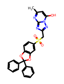 Cc1cc(O)n2nc(CS(=O)(=O)c3ccc4c(c3)OC(c3ccccc3)(c3ccccc3)O4)nc2n1